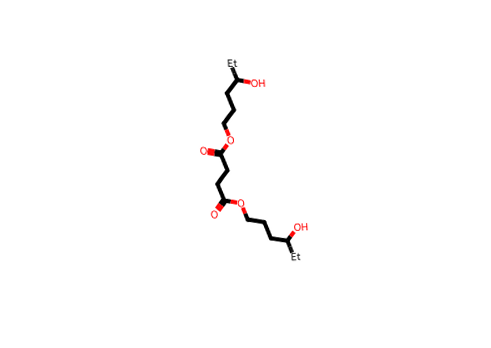 CCC(O)CCCOC(=O)CCC(=O)OCCCC(O)CC